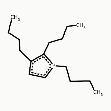 CCCCc1ccp(CCCC)c1CCCC